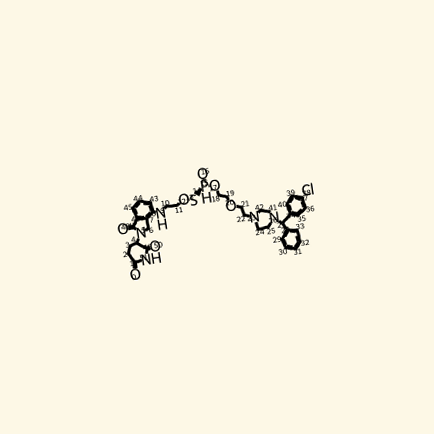 O=C1CCC(N2Cc3c(NCCOS#C[PH](=O)OCCOCCN4CCN(C(c5ccccc5)c5ccc(Cl)cc5)CC4)cccc3C2=O)C(=O)N1